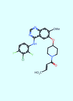 COc1cc2ncnc(Nc3ccc(F)c(Cl)c3F)c2cc1OC1CCN(C(=O)C=CC(=O)O)CC1